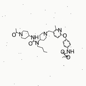 CCCCN(C(=O)NC1CCN(C(C)=O)CC1)C1CCN(Cc2ccc(Oc3ccc(NS(C)(=O)=O)cc3)nc2C)CC1